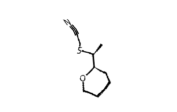 C[C@H](SC#N)[C@H]1CCCCO1